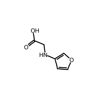 O=C(O)CNc1ccoc1